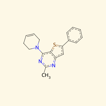 Cc1nc(N2CC=CCC2)c2sc(-c3ccccc3)cc2n1